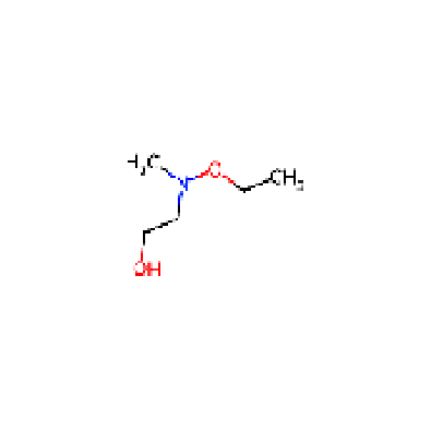 CCON(C)CCO